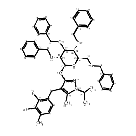 Cc1ccc(Cc2c(O[C@@H]3O[C@H](COCc4ccccc4)[C@@H](OCc4ccccc4)[C@H](OCc4ccccc4)[C@H]3OCc3ccccc3)nn(C(C)C)c2C)c(F)c1F